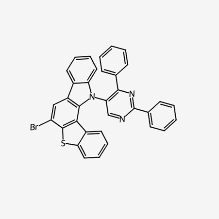 Brc1cc2c3ccccc3n(-c3cnc(-c4ccccc4)nc3-c3ccccc3)c2c2c1sc1ccccc12